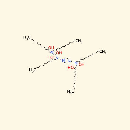 CCCCCCCCCCC(O)CN(CCN1CCN(CCN(CCN(CC(O)CCCCCCCCCC)CC(O)CCCCCCCCCC)CC(O)CCCCCCCCC)CC1)CC(O)CCCCCCCCCC